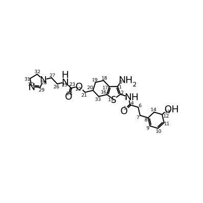 Nc1c(NC(=O)CCC2=CC=CC(O)C2)sc2c1CCC(COC(=O)NCCN1C=NCC1)C2